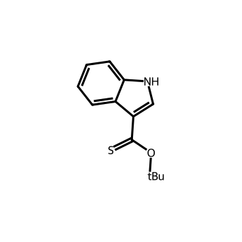 CC(C)(C)OC(=S)c1c[nH]c2ccccc12